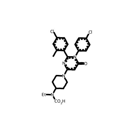 CCN(C(=O)O)C1CCN(c2cc(=O)n(-c3ccc(Cl)cc3)c(-c3ccc(Cl)cc3C)n2)CC1